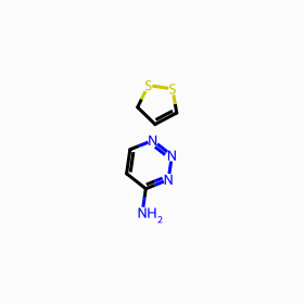 C1=CSSC1.Nc1ccnnn1